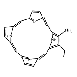 CCc1c(N)c2cc3nc(cc4ccc(cc5nc(cc1[nH]2)C=C5)[nH]4)C=C3